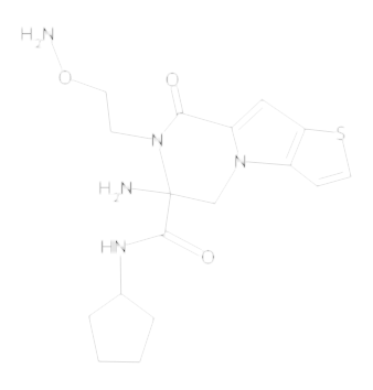 NOCCN1C(=O)c2cc3sccc3n2CC1(N)C(=O)NC1CCCC1